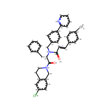 O=C([C@H](Cc1ccccc1)N(Cc1ccc(-c2ccccn2)cc1)C(=O)/C=C/c1ccc(C(F)(F)F)cc1)N1CCc2cc(Cl)ccc2C1